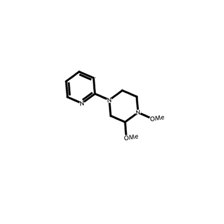 COC1CN(c2[c]cccn2)CCN1OC